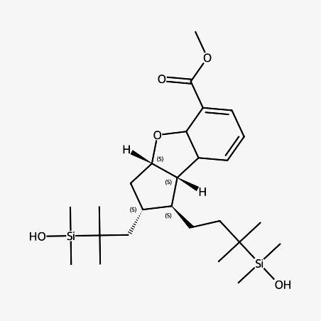 COC(=O)C1=CC=CC2C1O[C@H]1C[C@@H](CC(C)(C)[Si](C)(C)O)[C@H](CCC(C)(C)[Si](C)(C)O)[C@@H]21